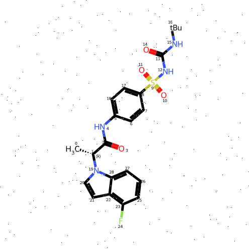 C[C@H](C(=O)Nc1ccc(S(=O)(=O)NC(=O)NC(C)(C)C)cc1)n1ccc2c(F)cccc21